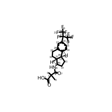 CC(C)(C(=O)O)C(=O)N[C@@H]1CC[C@H]2c3ccc(C(F)(C(F)(F)F)C(F)(F)F)cc3CC[C@@H]12